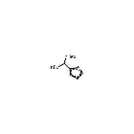 CCCCCCC(CCCC)c1cccs1